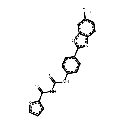 Cc1ccc2nc(-c3ccc(NC(=S)NC(=O)c4cccs4)cc3)oc2c1